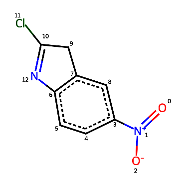 O=[N+]([O-])c1ccc2c(c1)CC(Cl)=N2